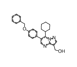 OCc1cnn2c(C3CCCCC3)c(-c3ccc(OCc4ccccc4)cc3)cnc12